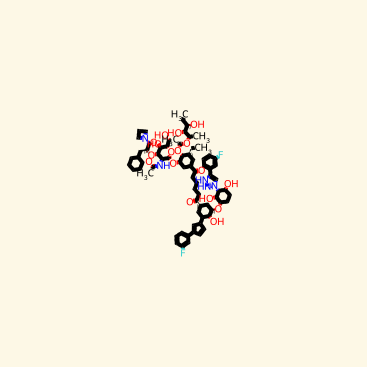 CC[C@@H]1CC(C(=O)CCCCC(=O)[C@H]2CC(C3C=CC(c4cccc(F)c4)=C3)C(O)[C@H](OC3CCC(O)C(N4C=C(c5cccc(F)c5)NN4)C3O)C2)CC(OC2OC(CO)C(O)C(O[C@@H](CC3CCCCC3)C(=O)N3CCC3)C2NC(C)=O)C1O[C@@H](C)OC(C)C(O)[C@H](O)CC